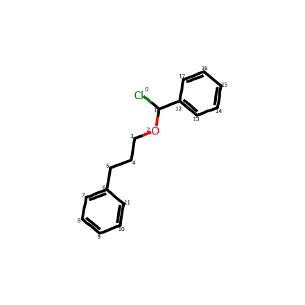 ClC(OCCCc1ccccc1)c1ccccc1